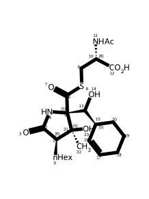 CCCCCC[C@H]1C(=O)N[C@@](C(=O)SC[C@H](NC(C)=O)C(=O)O)(C(O)[C@@H]2C=CCCC2)[C@@]1(C)O